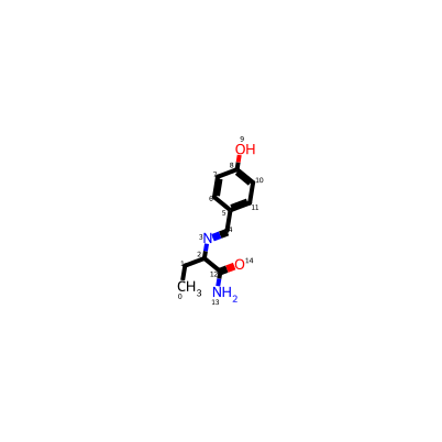 CCC(N=Cc1ccc(O)cc1)C(N)=O